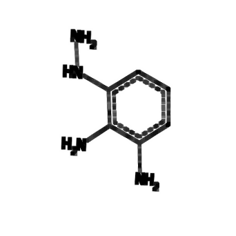 NNc1cccc(N)c1N